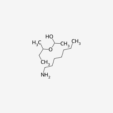 CCC(C)OC(C)O.CCCCCCCN